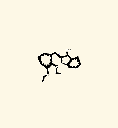 CCOc1cccc(/C=C2\Sc3ccccc3C2O)c1OCC